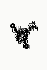 CCC[C@H](NC(=O)[C@@H]1CN(C(=O)Nc2ccccc2)C[C@@H]1NC(=O)[C@@H](NC(=O)[C@@H](NC(=O)c1cnccn1)C1CCCCC1)C(C)(C)C)C(O)C(=O)NCC(=O)N[C@H](C(=O)N(C)C)C(C)C